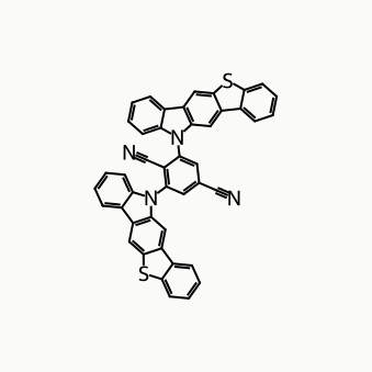 N#Cc1cc(-n2c3ccccc3c3cc4sc5ccccc5c4cc32)c(C#N)c(-n2c3ccccc3c3cc4sc5ccccc5c4cc32)c1